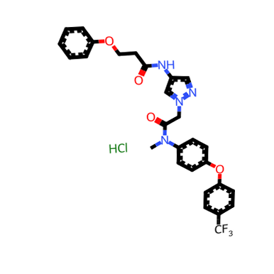 CN(C(=O)Cn1cc(NC(=O)CCOc2ccccc2)cn1)c1ccc(Oc2ccc(C(F)(F)F)cc2)cc1.Cl